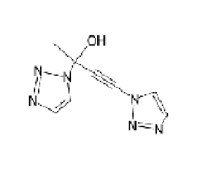 CC(O)(C#Cn1ccnn1)n1ccnn1